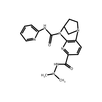 CN(C)NC(=O)c1ccc2c(n1)N(C(=O)Nc1ccccn1)C1CCN2C1